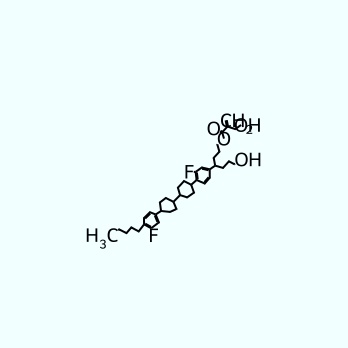 C=C(CO)C(=O)OCCCC(CCCO)c1ccc(C2CCC(C3CCC(c4ccc(CCCCC)c(F)c4)CC3)CC2)c(F)c1